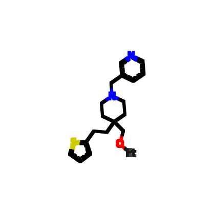 CCOCC1(CCc2cccs2)CCN(Cc2cccnc2)CC1